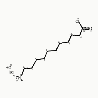 C.CCCCCCCCCCCC(=O)Cl.Cl.Cl